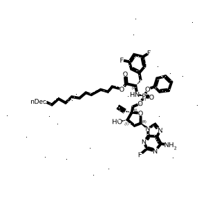 C#C[C@]1(CO[P@](=O)(N[C@@H](Cc2cc(F)cc(F)c2)C(=O)OCCCCCCCCCCCCCCCCCCCC)Oc2ccccc2)O[C@@H](n2cnc3c(N)nc(F)nc32)C[C@@H]1O